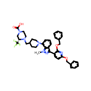 Cn1nc(-c2ccc(OCc3ccccc3)nc2OCc2ccccc2)c2cccc(N3CCC(CN4CCN(C(=O)O)C[C@H]4C(F)(F)F)CC3)c21